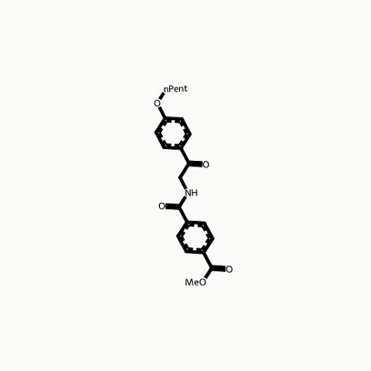 CCCCCOc1ccc(C(=O)CNC(=O)c2ccc(C(=O)OC)cc2)cc1